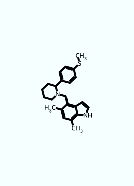 CSc1ccc(C2CCCCN2Cc2c(C)cc(C)c3[nH]ccc23)cc1